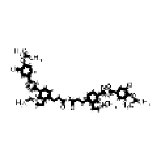 CCn1ccc2c(CCC(=O)OC(=O)CCc3ccc(-c4noc(-c5ccc(OC(C)C)c(Cl)c5)n4)c4c3ccn4C)ccc(-c3noc(-c4ccc(OC(C)C)c(Cl)c4)n3)c21